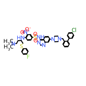 CN(C)CCC(CSc1ccc(F)cc1)Nc1ccc(S(=O)(=O)Nc2ncnc3cc(N4CCN(Cc5ccccc5-c5ccc(Cl)cc5)CC4)ccc23)cc1[N+](=O)[O-]